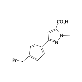 CC(C)Cc1ccc(-c2cc(C(=O)O)n(C)n2)cc1